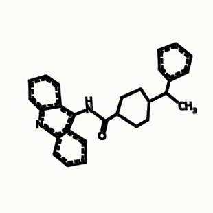 CC(c1ccccc1)C1CCC(C(=O)Nc2c3ccccc3nc3ccccc23)CC1